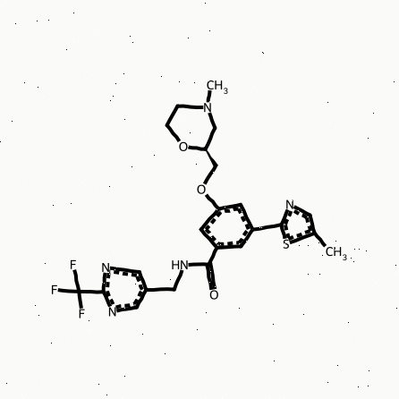 Cc1cnc(-c2cc(OC[C@@H]3CN(C)CCO3)cc(C(=O)NCc3cnc(C(F)(F)F)nc3)c2)s1